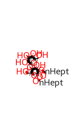 CCCCCCCC(=O)O[C@@H]1O[C@H](CO)[C@@H](O[C@H]2O[C@H](CO)[C@@H](O)[C@H](O)[C@H]2O)[C@H](O)[C@H]1OC(=O)CCCCCCC